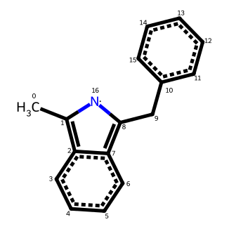 CC1=c2ccccc2=C(Cc2ccccc2)[N]1